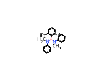 CC(C)c1cccc(C(C)C)c1B(N(C)c1ccccc1)N(C)c1ccccc1